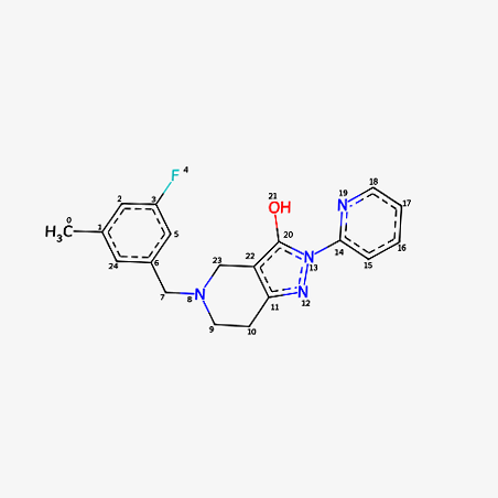 Cc1cc(F)cc(CN2CCc3nn(-c4ccccn4)c(O)c3C2)c1